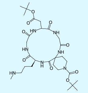 CNCCC[C@@H]1NC(=O)C2(CCN(C(=O)OC(C)(C)C)CC2)NC(=O)CNC(=O)C(CC(=O)OC(C)(C)C)NC(=O)CNC1=O